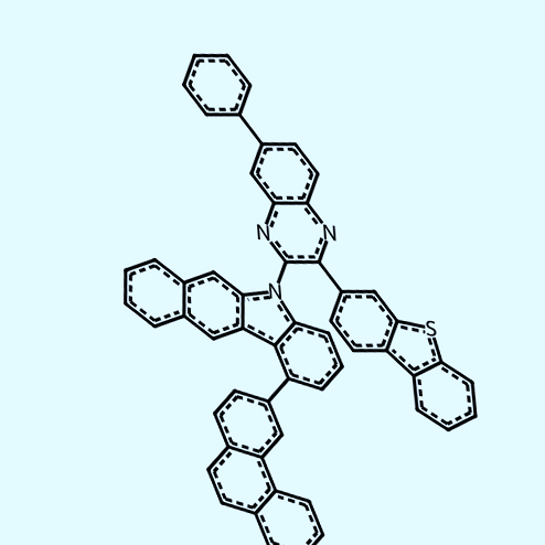 c1ccc(-c2ccc3nc(-c4ccc5c(c4)sc4ccccc45)c(-n4c5cc6ccccc6cc5c5c(-c6ccc7ccc8ccccc8c7c6)cccc54)nc3c2)cc1